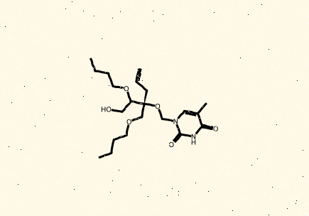 C=CC[C@](COCCCC)(OCn1cc(C)c(=O)[nH]c1=O)C(CO)OCCCC